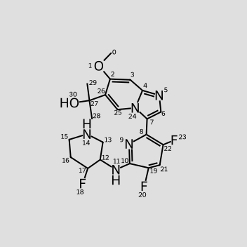 COc1cc2ncc(-c3nc(NC4CNCCC4F)c(F)cc3F)n2cc1C(C)(C)O